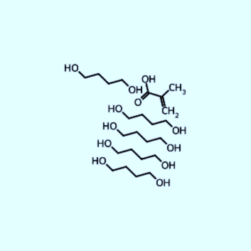 C=C(C)C(=O)O.OCCCCO.OCCCCO.OCCCCO.OCCCCO.OCCCCO